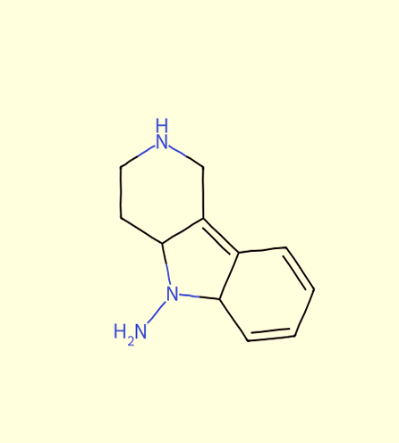 NN1C2C=CC=CC2=C2CNCCC21